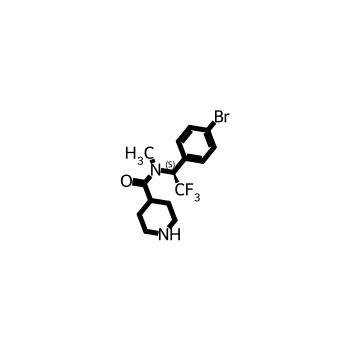 CN(C(=O)C1CCNCC1)[C@@H](c1ccc(Br)cc1)C(F)(F)F